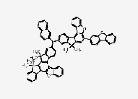 CC1(C)c2cc(N(c3ccc4c(c3)C(C)(C)c3c5c(c6oc7ccccc7c6c3-4)-c3ccccc3C5(C)C)c3ccc4ccccc4c3)ccc2-c2c1cc(-c1ccc3c(c1)oc1ccccc13)c1oc3ccccc3c21